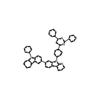 c1ccc(-c2cc(-c3ccc(-n4c5cc(-c6ccc7c(c6)c6ccccc6n7-c6ccccc6)ccc5c5cccnc54)cc3)nc(-c3ccccc3)n2)cc1